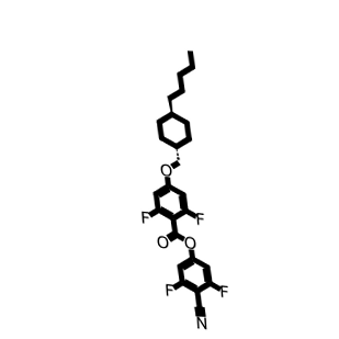 CCCCC[C@H]1CC[C@H](COc2cc(F)c(C(=O)Oc3cc(F)c(C#N)c(F)c3)c(F)c2)CC1